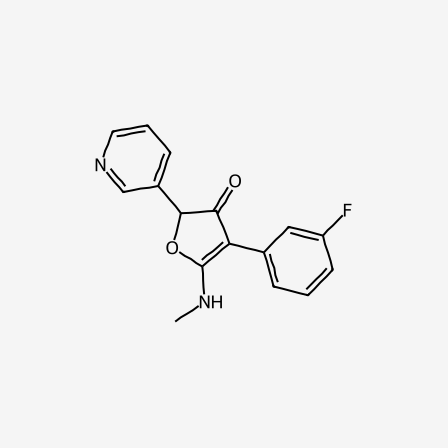 CNC1=C(c2cccc(F)c2)C(=O)C(c2cccnc2)O1